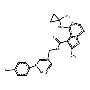 C=C/C(=C\N(N)c1ccc(F)cc1)CNC(=O)c1c(C)oc2ncnc(NC3(C)CC3)c12